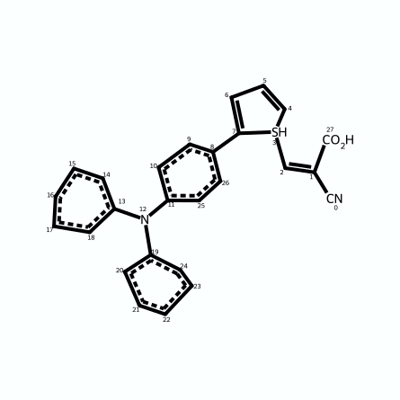 N#CC(=C[SH]1C=CC=C1c1ccc(N(c2ccccc2)c2ccccc2)cc1)C(=O)O